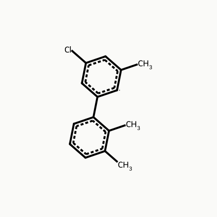 Cc1[c]c(-c2cccc(C)c2C)cc(Cl)c1